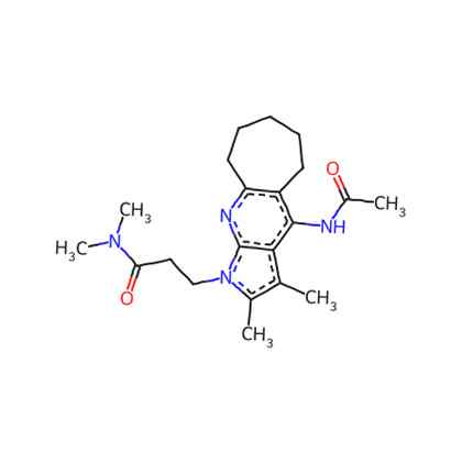 CC(=O)Nc1c2c(nc3c1c(C)c(C)n3CCC(=O)N(C)C)CCCCC2